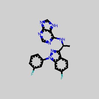 CC(Nc1ncnc2nc[nH]c12)c1nn(-c2cccc(F)c2)c2cc(F)ccc12